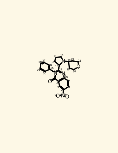 O=c1c2cc([N+](=O)[O-])ccc2nc(C2CCCN2C2CCOCC2)n1-c1ccccc1